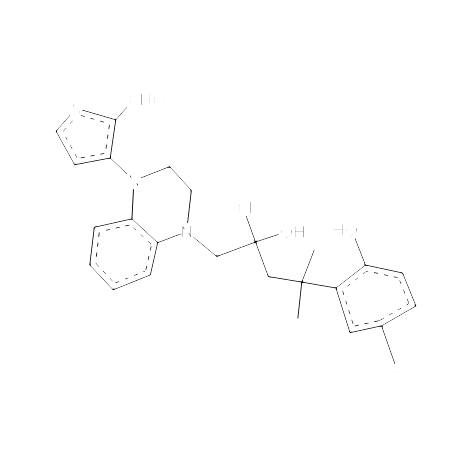 CC(C)(CC(O)(CN1CCN(c2ccsc2C=O)c2ccccc21)C(F)(F)F)c1cc(F)ccc1O